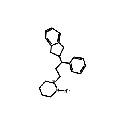 CCCN1CCCC[C@H]1CCC(c1ccccc1)C1Cc2ccccc2C1